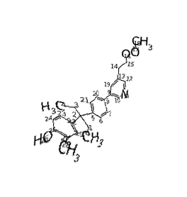 CCC(CC)(c1ccc(-c2cncc(CCOOC)c2)cc1)c1ccc(O)c(C)c1